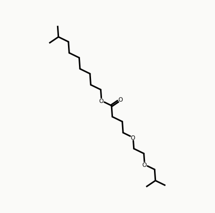 CC(C)CCCCCCCOC(=O)CCCOCCOCC(C)C